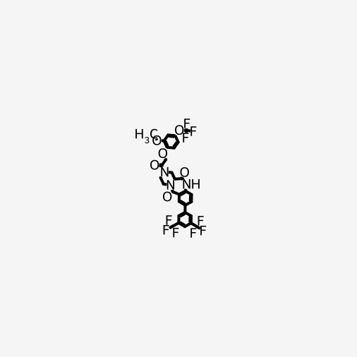 COc1cc(OC(F)(F)F)ccc1OCC(=O)N1CCN2C(=O)c3cc(-c4cc(C(F)(F)F)cc(C(F)(F)F)c4)ccc3NC(=O)C2C1